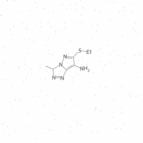 CCSc1nn2c(c1N)N=NC2C